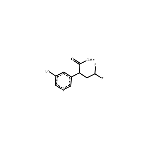 COC(=O)C(CC(F)F)c1cncc(Br)c1